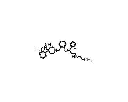 CCCNCCC(Oc1ccccc1CN1CCC(c2ccccc2)(N(C)C)CC1)c1cccs1